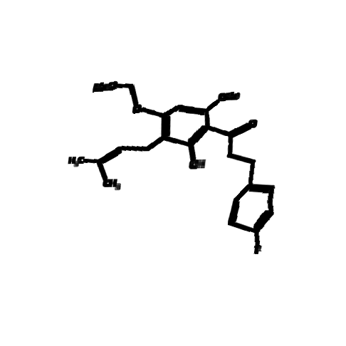 COCOc1cc(OC)c(C(=O)CCc2ccc(F)cc2)c(O)c1CC=C(C)C